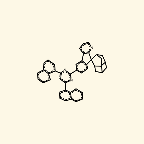 c1cnc2c(c1)-c1cc(-c3nc(-c4cccc5ccccc45)nc(-c4cccc5ccccc45)n3)ccc1C21C2CC3CC(C2)CC1C3